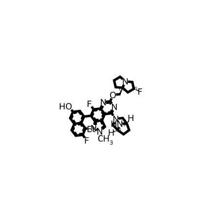 CCc1c(F)ccc2cc(O)cc(-c3c(F)c4nc(OC[C@@]56CCCN5C[C@H](F)C6)nc(N5C[C@H]6CC[C@@H](C5)N6)c4c4cn(C)nc34)c12